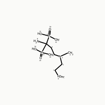 CCCCCCCCCCCCN(C)CCC(N)(P(=O)(O)O)P(=O)(O)O